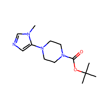 Cn1cncc1N1CCN(C(=O)OC(C)(C)C)CC1